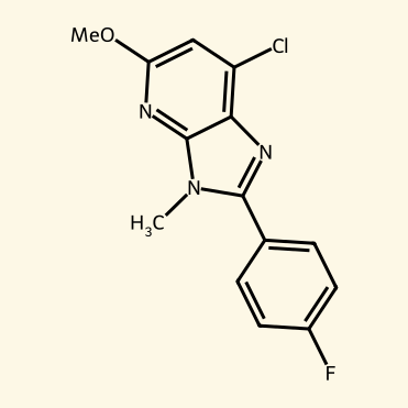 COc1cc(Cl)c2nc(-c3ccc(F)cc3)n(C)c2n1